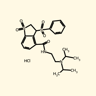 CC(C)N(CCNC(=O)c1cccc2c1C(S(=O)(=O)c1ccccc1)CS2(=O)=O)C(C)C.Cl